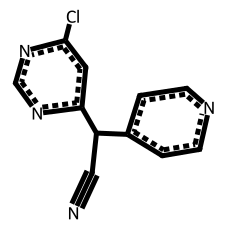 N#CC(c1ccncc1)c1cc(Cl)ncn1